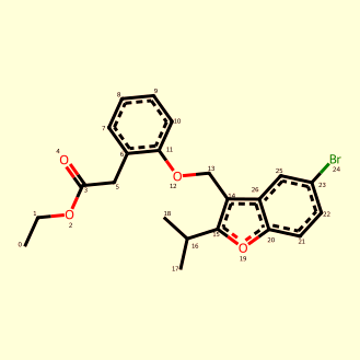 CCOC(=O)Cc1ccccc1OCc1c(C(C)C)oc2ccc(Br)cc12